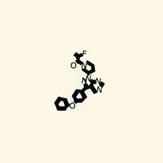 C=C(F)C(=O)N1CCC[C@@H](n2nc(-c3ccc(Oc4ccccc4)cc3)c3cncnc32)C1